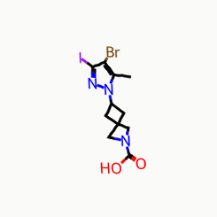 Cc1c(Br)c(I)nn1C1CC2(C1)CN(C(=O)O)C2